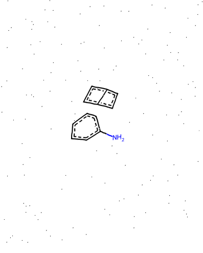 Nc1ccccc1.c1cc2ccc1-2